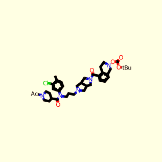 CC(=O)N1CCC(C(=O)N(CCCN2CC3CN(C(=O)c4cccc5c4CCN(OC(=O)OC(C)(C)C)C5)CC3C2)c2ccc(C)c(Cl)c2)CC1